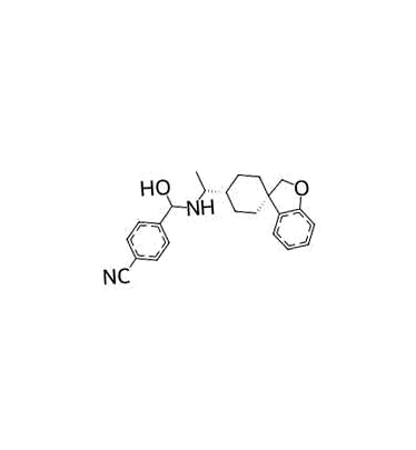 CC(NC(O)c1ccc(C#N)cc1)[C@H]1CC[C@]2(CC1)COc1ccccc12